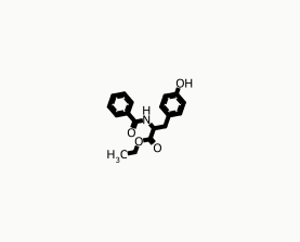 CCOC(=O)C(Cc1ccc(O)cc1)NC(=O)c1ccccc1